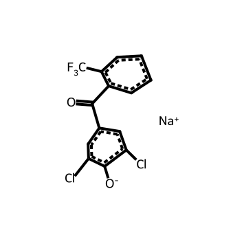 O=C(c1cc(Cl)c([O-])c(Cl)c1)c1ccccc1C(F)(F)F.[Na+]